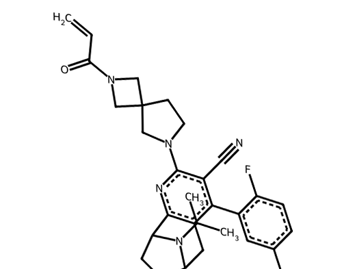 C=CC(=O)N1CC2(CCN(c3nc4c(c(-c5cc(O)ccc5F)c3C#N)CC3CCC4N3C(C)C)C2)C1